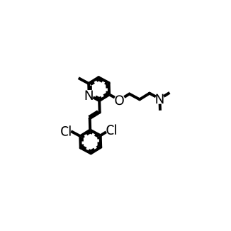 Cc1ccc(OCCCN(C)C)c(C=Cc2c(Cl)cccc2Cl)n1